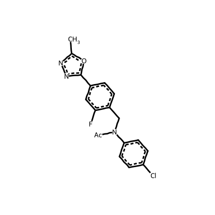 CC(=O)N(Cc1ccc(-c2nnc(C)o2)cc1F)c1ccc(Cl)cc1